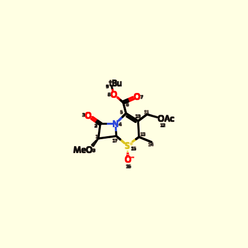 CO[C@H]1C(=O)N2C(C(=O)OC(C)(C)C)=C(COC(C)=O)C(C)[S@+]([O-])C12